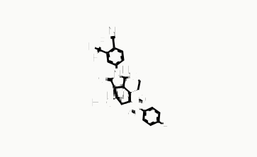 C[C@@]12C[C@@H](S(=O)(=O)c3ccc(F)cc3)[C@]3(CCO[C@H]4[C@@H]3[C@@H]1C(=O)N4c1ccc(C#N)c(C(F)(F)F)c1)O2